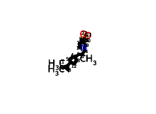 CC(Cc1ccc(C2CC2(C)C)cc1)CN1CCC2(C1)CS(=O)(=O)C2